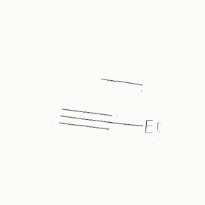 C#CCC.CC